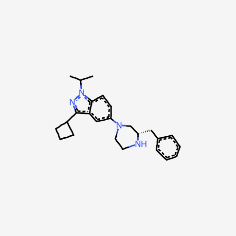 CC(C)n1nc(C2CCC2)c2cc(N3CCN[C@@H](Cc4ccccc4)C3)ccc21